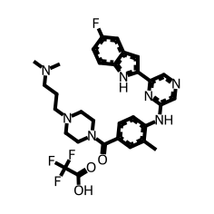 Cc1cc(C(=O)N2CCN(CCCN(C)C)CC2)ccc1Nc1cncc(-c2cc3cc(F)ccc3[nH]2)n1.O=C(O)C(F)(F)F